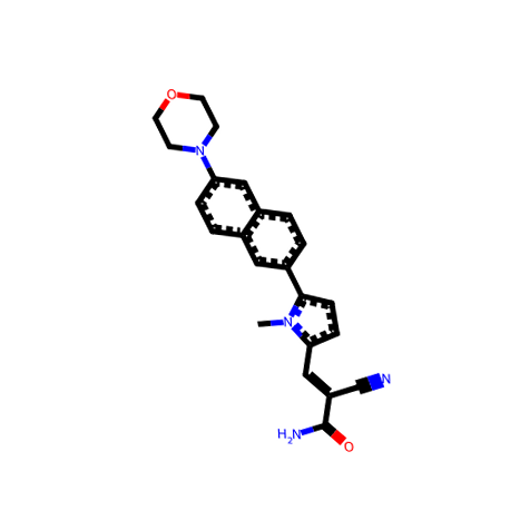 Cn1c(/C=C(\C#N)C(N)=O)ccc1-c1ccc2cc(N3CCOCC3)ccc2c1